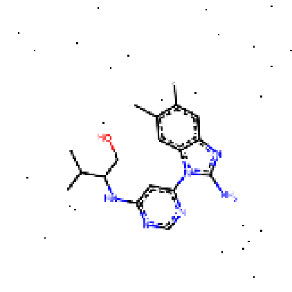 Cc1cc2nc(N)n(-c3cc(NC(CO)C(C)C)ncn3)c2cc1C